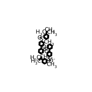 Cc1ccc(C(C)(C)C)cc1[S+]([O-])c1ccc(-c2ccccc2S(=O)(=O)c2ccccc2-c2ccc([S+]([O-])c3cc(C(C)(C)C)ccc3C)cc2)cc1